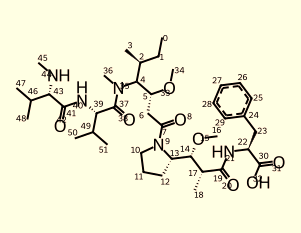 CC[C@H](C)C([C@@H](CC(=O)N1CCC[C@H]1[C@H](OC)[C@@H](C)C(=O)N[C@@H](Cc1ccccc1)C(=O)O)OC)N(C)C(=O)[C@@H](NC(=O)[C@@H](NC)C(C)C)C(C)C